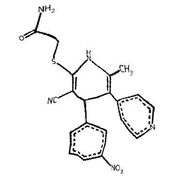 CC1=C(c2ccncc2)C(c2cccc([N+](=O)[O-])c2)C(C#N)=C(SCC(N)=O)N1